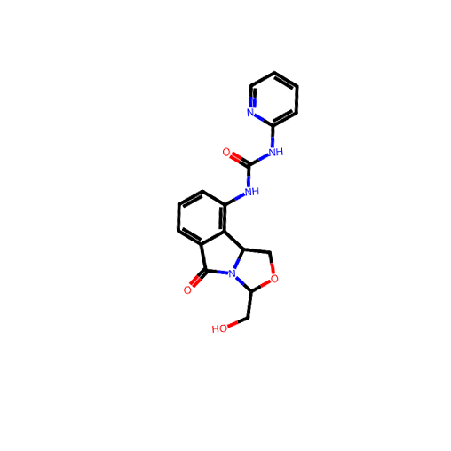 O=C(Nc1ccccn1)Nc1cccc2c1C1COC(CO)N1C2=O